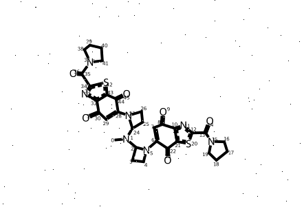 CN(C1CCN1C1=CC(=O)c2nc(C(=O)N3CCCC3)sc2C1=O)C1CCN1C1=CC(=O)c2nc(C(=O)N3CCCC3)sc2C1=O